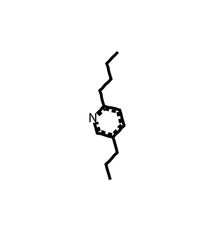 CCCCc1ccc(CCC)cn1